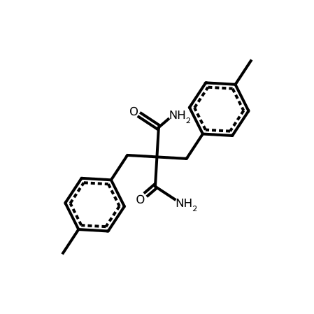 Cc1ccc(CC(Cc2ccc(C)cc2)(C(N)=O)C(N)=O)cc1